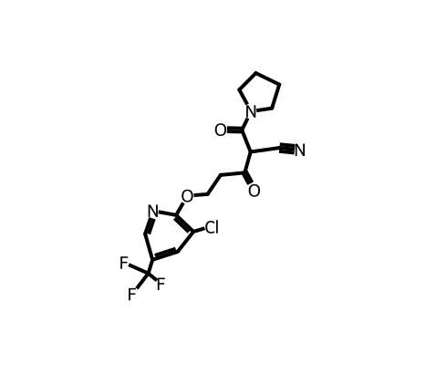 N#CC(C(=O)CCOc1ncc(C(F)(F)F)cc1Cl)C(=O)N1CCCC1